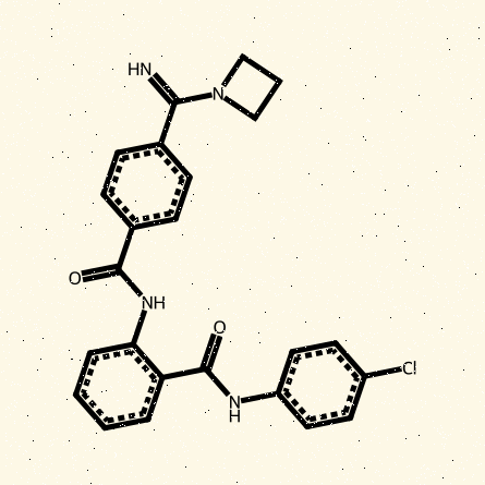 N=C(c1ccc(C(=O)Nc2ccccc2C(=O)Nc2ccc(Cl)cc2)cc1)N1CCC1